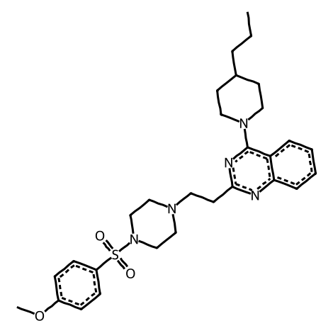 CCCC1CCN(c2nc(CCN3CCN(S(=O)(=O)c4ccc(OC)cc4)CC3)nc3ccccc23)CC1